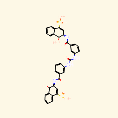 O=C(Nc1cccc(C(=O)N=C2C=C(S(=O)(=O)O)c3ccccc3C2O)c1)Nc1cccc(C(=O)N=C2C=C(S(=O)(=O)O)c3ccccc3C2O)c1